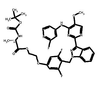 COc1cnc(-c2nn(Cc3c(F)cc(OCCOC(=O)[C@H](C)NC(=O)OC(C)(C)C)cc3F)c3ccccc23)nc1Nc1ccnc(F)c1